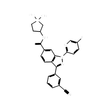 N#Cc1cccc(-c2nn(-c3ccc(F)cn3)c3cc(C(=O)NC4CCS(O)(O)C4)ccc23)c1